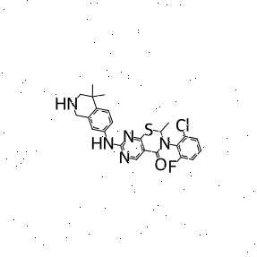 CC1Sc2nc(Nc3ccc4c(c3)CNCC4(C)C)ncc2C(=O)N1c1c(F)cccc1Cl